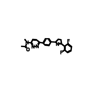 CC(=O)N(C)c1ccc(-c2ccc(C3CCC(c4c(F)cccc4F)=N3)cc2)nn1